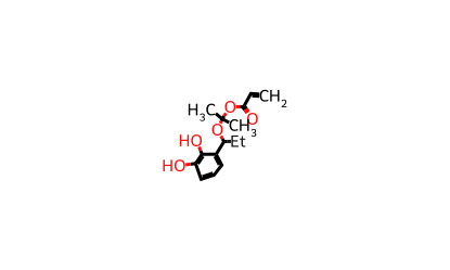 C=CC(=O)OC(C)(C)OC(CC)c1cccc(O)c1O